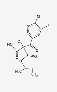 CCC(C)OC(=O)C(Cl)(C(=O)O)C(=O)c1cnc(Cl)c(F)c1